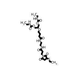 CCNC(=O)OCC(COC(=O)NCC)OCCCC(=O)NCCNC(=O)CCN1C(=O)CC(SCC)C1=O